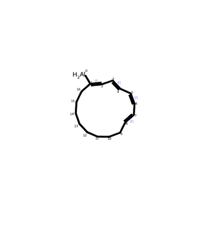 [AlH2]\[C]1=C/C=C/C=C\C=C\CCCCCCCC1